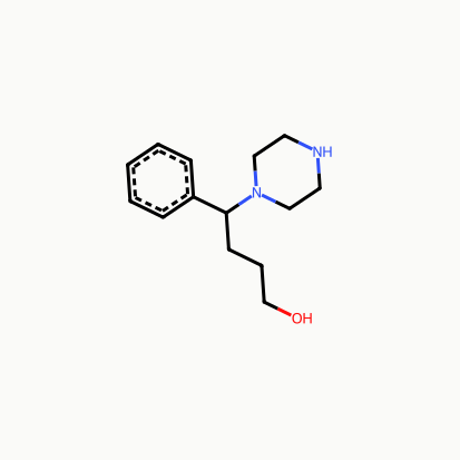 OCCCC(c1ccccc1)N1CCNCC1